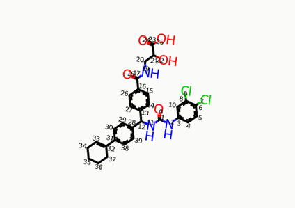 O=C(Nc1ccc(Cl)c(Cl)c1)NC(c1ccc(C(=O)NCC(O)C(=O)O)cc1)c1ccc(C2=CCCCC2)cc1